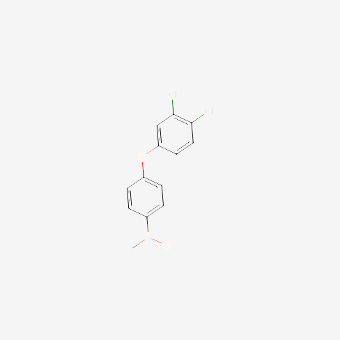 C[S+]([O-])c1ccc(Oc2ccc(Cl)c(Cl)c2)cc1